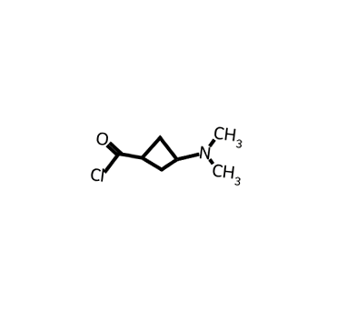 CN(C)C1CC(C(=O)Cl)C1